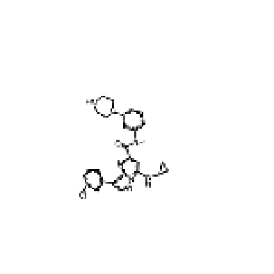 O=C(Nc1cccc(N2CCNCC2)c1)c1cc(NC2CC2)n2ncc(-c3cccc(Cl)c3)c2n1